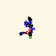 Nc1ncnc2c1c(-c1ccc(Nc3nc4cc(Cl)cc(OCCN5CCCC5)c4o3)cc1)nn2C1CCCC1